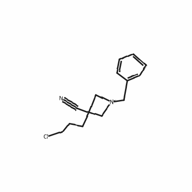 N#CC1(CCCCl)CN(Cc2ccccc2)C1